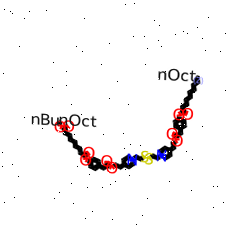 CCCCCCCC/C=C\CCCCCCCC(=O)Oc1ccc(CC(=O)OCCC2CCN(CCSSCCN3CCC(CCOC(=O)Cc4ccc(OC(=O)CCCCCCCC(=O)OC(CCCC)CCCCCCCC)cc4)CC3)CC2)cc1